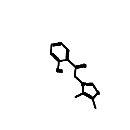 Cc1sc[n+](CC(=O)c2ccccc2O)c1C